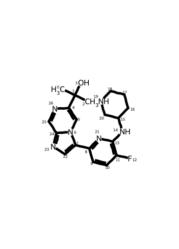 CC(C)(O)c1cn2c(-c3ccc(F)c(NC4CCCNC4)n3)cnc2cn1